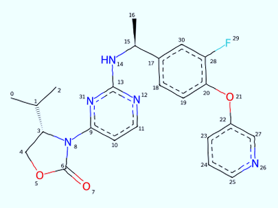 CC(C)[C@H]1COC(=O)N1c1ccnc(N[C@@H](C)c2ccc(Oc3cccnc3)c(F)c2)n1